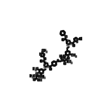 Cc1cc(C[C@@H]2CN(C(=O)Oc3cnn(C)c3)C[C@H]2C(=O)c2ccc(SCOC(=O)C(C)(C)Oc3c(C)cc(CC[C@@H]4CN(C(=O)Oc5ccccc5)C[C@H]4C(=O)c4ccc(Cl)s4)cc3C)cc2)cc(C)c1OC(C)(C)C(=O)O